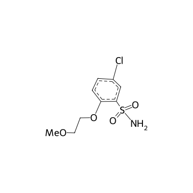 COCCOc1ccc(Cl)cc1S(N)(=O)=O